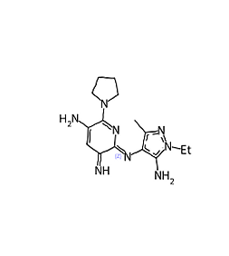 CCn1nc(C)c(/N=C2\N=C(N3CCCC3)C(N)=CC2=N)c1N